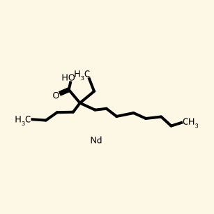 CCCCCCCCC(CC)(CCCC)C(=O)O.[Nd]